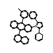 Cc1cccc(-c2c3ccccc3c(-c3cccc4ccccc34)c3ccc(-n4c(-c5ccccc5)ccc4C4C=CC=CC4)cc23)c1